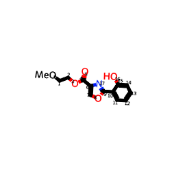 COCCOC(=O)c1coc(-c2ccccc2O)n1